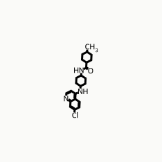 CC1CCC(C(=O)NC2CCC(Nc3ccnc4cc(Cl)ccc34)CC2)CC1